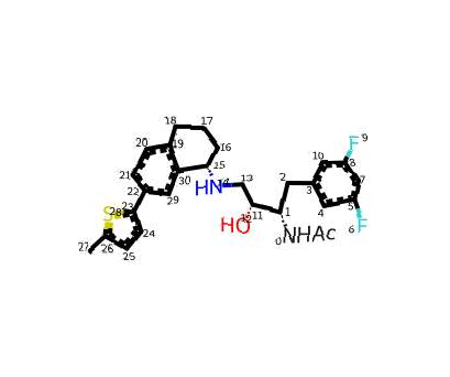 CC(=O)N[C@@H](Cc1cc(F)cc(F)c1)[C@H](O)CN[C@H]1CCCc2ccc(-c3ccc(C)s3)cc21